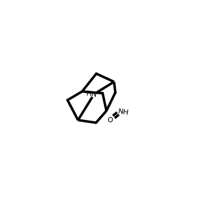 C1C2CC3CC1CC(C2)N3.N=O